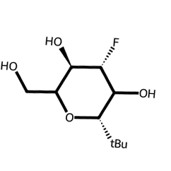 CC(C)(C)[C@@H]1OC(CO)[C@@H](O)[C@H](F)C1O